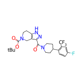 CC(C)(C)OC(=O)N1CCc2[nH]nc(C(=O)N3CCC(c4ccc(F)cc4C(F)(F)F)CC3)c2C1